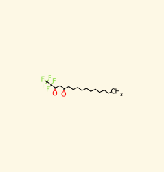 CCCCCCCCCCCC(=O)CC(=O)C(F)(F)C(F)(F)F